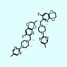 Cc1cnc(N2CCN([C@H](CC3COc4cc(F)c([C@H](C)N5CCN(c6ncc(C)cn6)C[C@H]5C)nc4O3)c3nc4c(cc3F)OCCO4)[C@H](C)C2)nc1